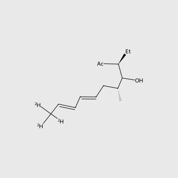 [2H]C([2H])([2H])C=CC=CC[C@@H](C)C(O)[C@H](CC)C(C)=O